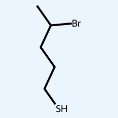 CC(Br)CCCS